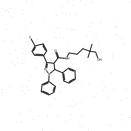 CC(C)(CO)CCCNC(=O)C1C(c2ccc(F)cc2)=NN(c2ccccc2)C1c1ccccc1